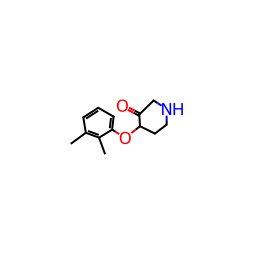 Cc1cccc(OC2CCNCC2=O)c1C